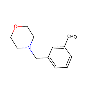 O=Cc1cccc(CN2CCOCC2)c1